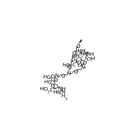 C#CCOCCOCCOCCOCCN(CCOCCN(C)C(=O)OC([C@H](O)CO)[C@@H]1OC(C(=O)O)=C[C@H](NC(=N)N)[C@H]1C)CCOCCN(C)C(=O)O[C@@H]([C@@H]1OC(C(=O)O)=C[C@H](NC(=N)N)[C@H]1C)[C@H](O)CO